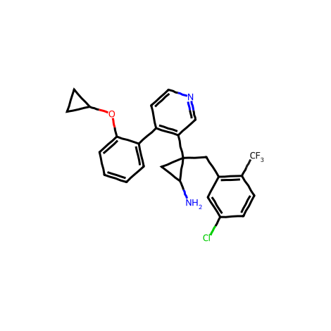 NC1CC1(Cc1cc(Cl)ccc1C(F)(F)F)c1cnccc1-c1ccccc1OC1CC1